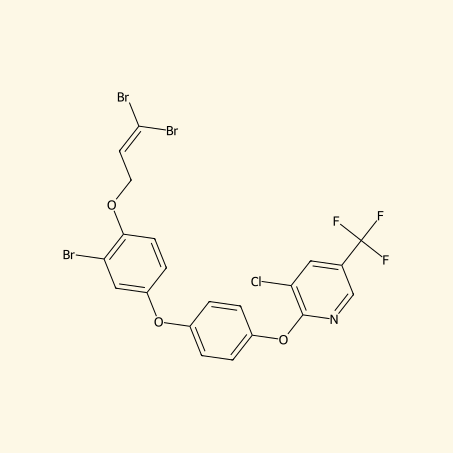 FC(F)(F)c1cnc(Oc2ccc(Oc3ccc(OCC=C(Br)Br)c(Br)c3)cc2)c(Cl)c1